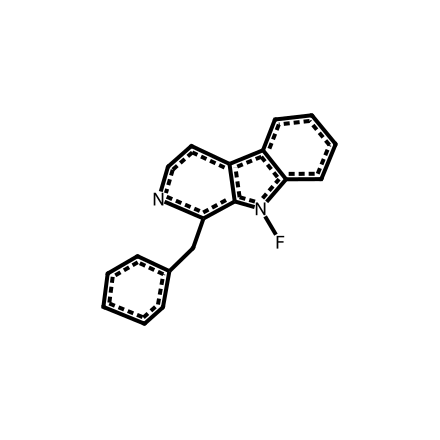 Fn1c2ccccc2c2ccnc(Cc3ccccc3)c21